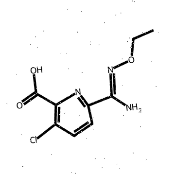 CCON=C(N)c1ccc(Cl)c(C(=O)O)n1